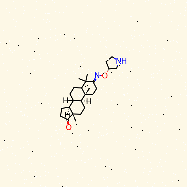 CC1(C)/C(=N/O[C@@H]2CCNC2)CC[C@@]2(C)C1CC[C@@H]1[C@@H]2CC[C@]2(C)C(=O)CC[C@@H]12